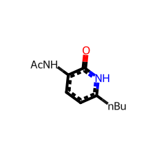 CCCCc1ccc(NC(C)=O)c(=O)[nH]1